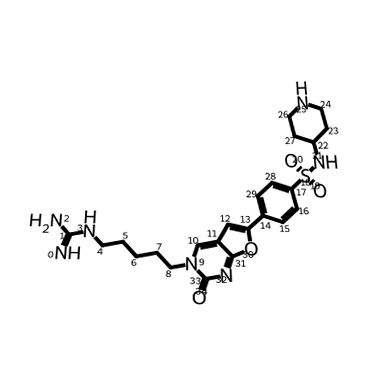 N=C(N)NCCCCCn1cc2cc(-c3ccc(S(=O)(=O)NC4CCNCC4)cc3)oc2nc1=O